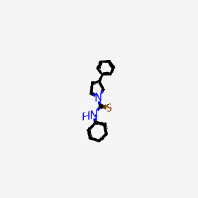 S=C(NC1CCCCC1)N1CCC(c2ccccc2)C1